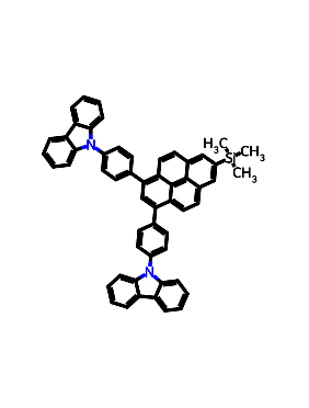 C[Si](C)(C)c1cc2ccc3c(-c4ccc(-n5c6ccccc6c6ccccc65)cc4)cc(-c4ccc(-n5c6ccccc6c6ccccc65)cc4)c4ccc(c1)c2c34